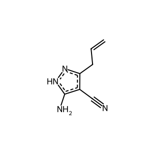 C=CCc1n[nH]c(N)c1C#N